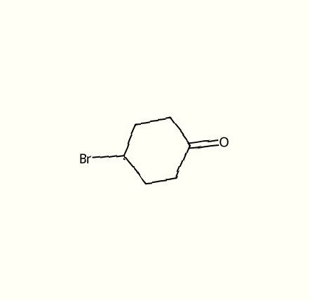 O=C1CC[C](Br)CC1